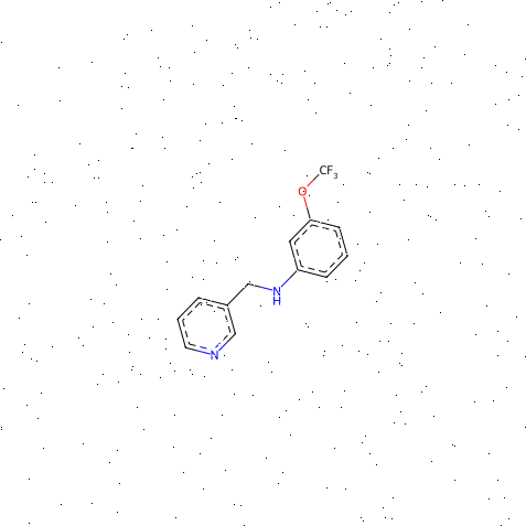 FC(F)(F)Oc1cccc(NCc2cccnc2)c1